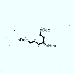 [CH2]CCCCCC(CCCCCCCCCCCC)CCCCCCCCCCCCC